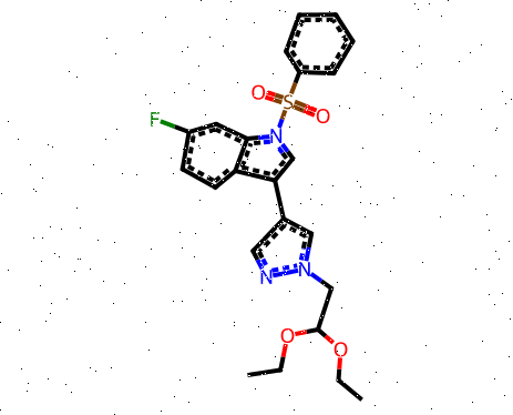 CCOC(Cn1cc(-c2cn(S(=O)(=O)c3ccccc3)c3cc(F)ccc23)cn1)OCC